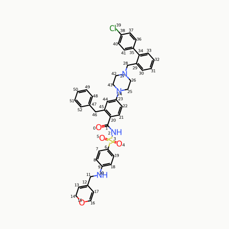 O=C(NS(=O)(=O)c1ccc(NCC2=CCOC=C2)cc1)c1ccc(N2CCN(Cc3ccccc3-c3ccc(Cl)cc3)CC2)cc1Cc1ccccc1